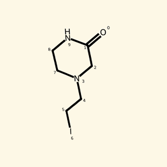 O=C1CN(CCI)CCN1